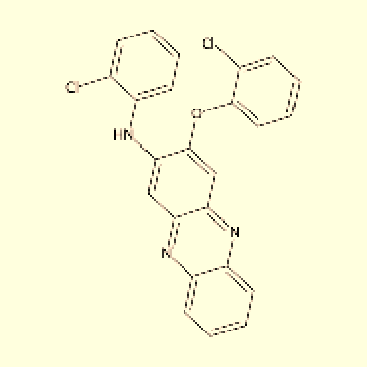 Clc1ccccc1Nc1cc2nc3ccccc3nc2cc1Oc1ccccc1Cl